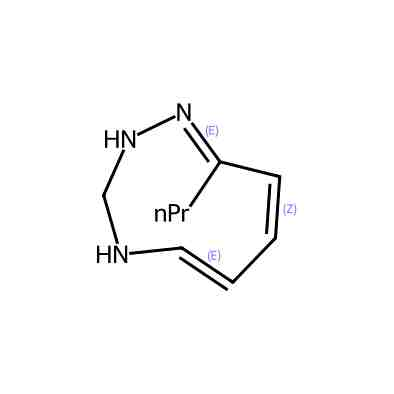 CCCC1=N\NCN/C=C/C=C\1